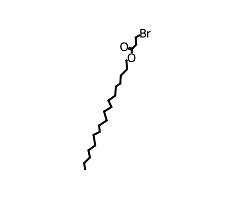 CCCCCCCCCCCCCCCCCCOC(=O)CCBr